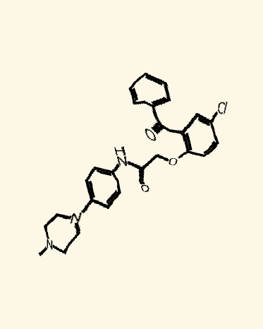 CN1CCN(c2ccc(NC(=O)COc3ccc(Cl)cc3C(=O)c3ccccc3)cc2)CC1